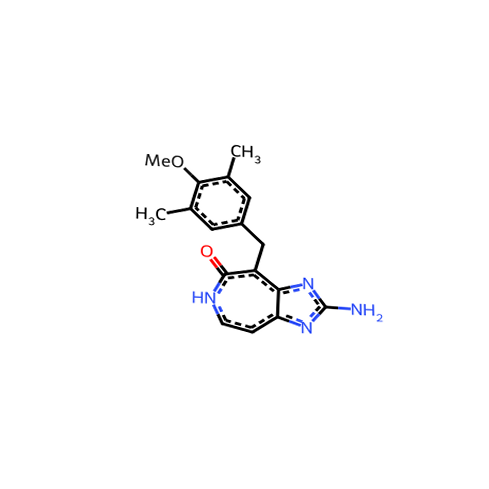 COc1c(C)cc(Cc2c3nc(N)nc-3cc[nH]c2=O)cc1C